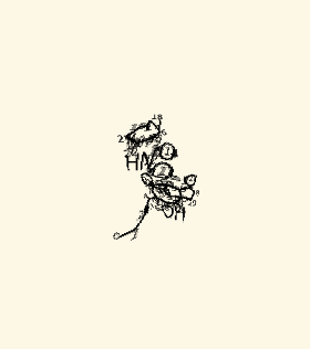 CCC#CC[C@]1(C)C[C@@H](OC(=O)NC(=O)[C@H]2CN(C)CC[C@@H]2C)[C@@]2(C)C3C(=O)CCC3(CC[C@H]2C)[C@@H](C)[C@@H]1O